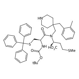 CSCC[C@@H](C(=O)O)N(CC1(Cc2ccccc2C)CCNCC1)C(=O)[C@H](CSC(c1ccccc1)(c1ccccc1)c1ccccc1)NC(=O)OC(C)(C)C